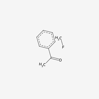 CC(=O)c1ccccc1.CF